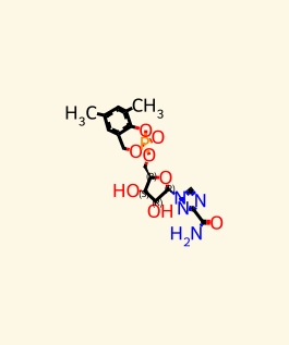 Cc1cc(C)c2c(c1)COP(=O)(OC[C@H]1O[C@@H](n3cnc(C(N)=O)n3)[C@H](O)[C@@H]1O)O2